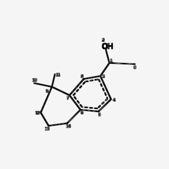 CC(O)c1ccc2c(c1)C(C)(C)CCC2